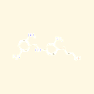 Nc1ccc(N)c(CNc2ccc(OCCO)c(N)c2)c1